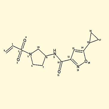 C=CS(=O)(=O)N1CCC(NC(=O)c2cc(C3CC3)on2)C1